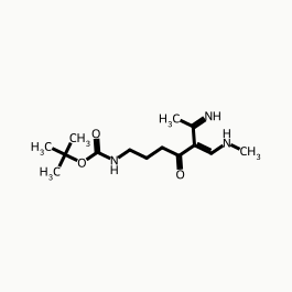 CN/C=C(\C(C)=N)C(=O)CCCNC(=O)OC(C)(C)C